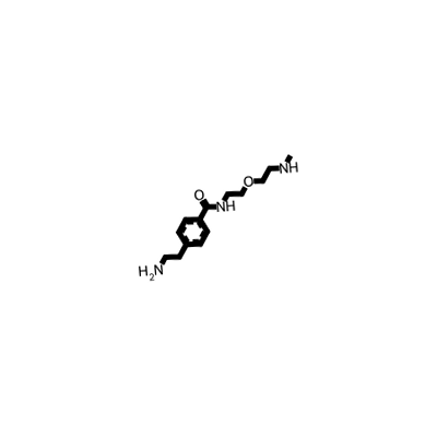 CNCCOCCNC(=O)c1ccc(CCN)cc1